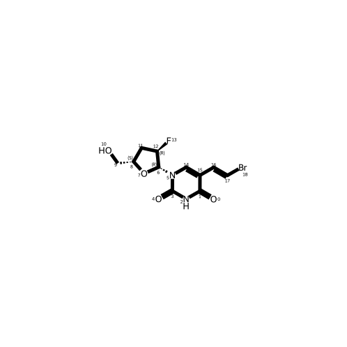 O=c1[nH]c(=O)n([C@@H]2O[C@H](CO)C[C@H]2F)cc1C=CBr